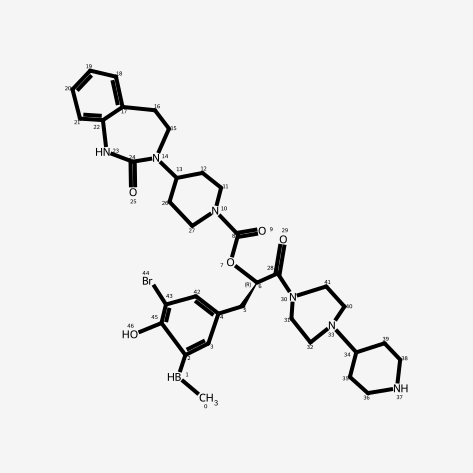 CBc1cc(C[C@@H](OC(=O)N2CCC(N3CCc4ccccc4NC3=O)CC2)C(=O)N2CCN(C3CCNCC3)CC2)cc(Br)c1O